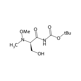 CON(C)[C@H](CO)C(=O)NC(=O)OC(C)(C)C